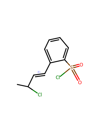 CC(Cl)/C=C/c1ccccc1S(=O)(=O)Cl